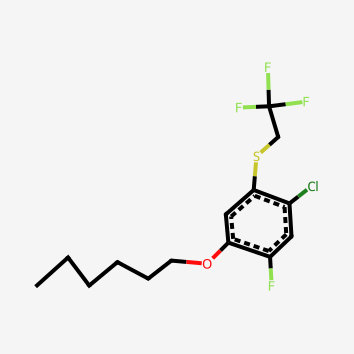 CCCCCCOc1cc(SCC(F)(F)F)c(Cl)cc1F